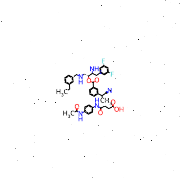 CC(=O)Nc1ccc(NC(=O)CCC(=O)O)cc1.CCc1cccc(CNC[C@@H](OC(=O)c2cccc(C(C)C#N)c2)[C@@H](N)Cc2cc(F)cc(F)c2)c1